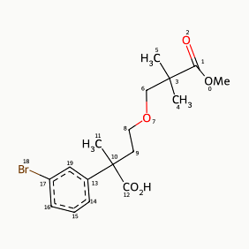 COC(=O)C(C)(C)COCCC(C)(C(=O)O)c1cccc(Br)c1